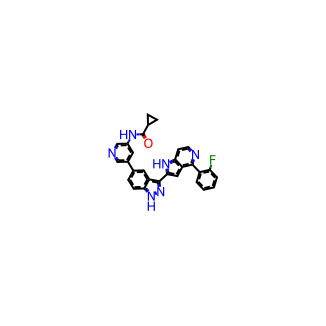 O=C(Nc1cncc(-c2ccc3[nH]nc(-c4cc5c(-c6ccccc6F)nccc5[nH]4)c3c2)c1)C1CC1